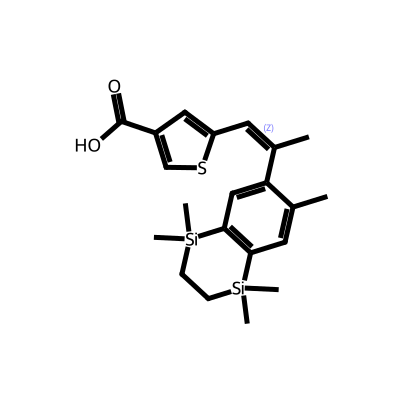 C/C(=C/c1cc(C(=O)O)cs1)c1cc2c(cc1C)[Si](C)(C)CC[Si]2(C)C